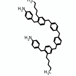 CCCCCc1cc(Cc2ccc(Cc3ccc(Cc4ccc(Cc5ccc(N)cc5)c(CCCCC)c4)cc3)cc2)ccc1Cc1ccc(N)cc1